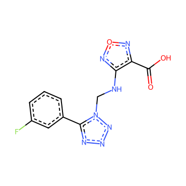 O=C(O)c1nonc1NCn1nnnc1-c1cccc(F)c1